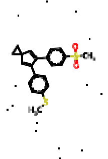 CSc1ccc(C2=CC3(C=C2c2ccc(S(C)(=O)=O)cc2)CC3)cc1